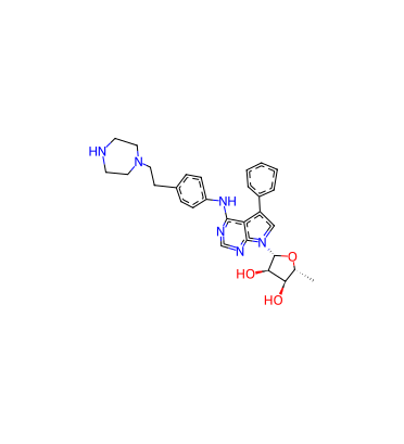 C[C@H]1O[C@@H](n2cc(-c3ccccc3)c3c(Nc4ccc(CCN5CCNCC5)cc4)ncnc32)[C@H](O)[C@@H]1O